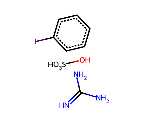 Ic1ccccc1.N=C(N)N.O=S(=O)(O)O